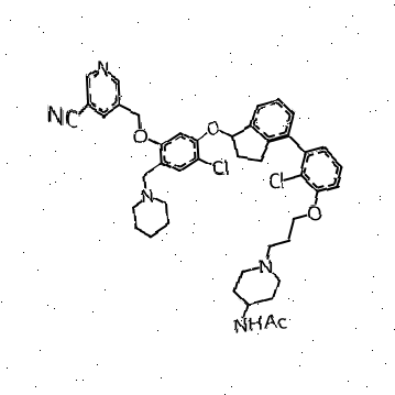 CC(=O)NC1CCN(CCCOc2cccc(-c3cccc4c3CCC4Oc3cc(OCc4cncc(C#N)c4)c(CN4CCCCC4)cc3Cl)c2Cl)CC1